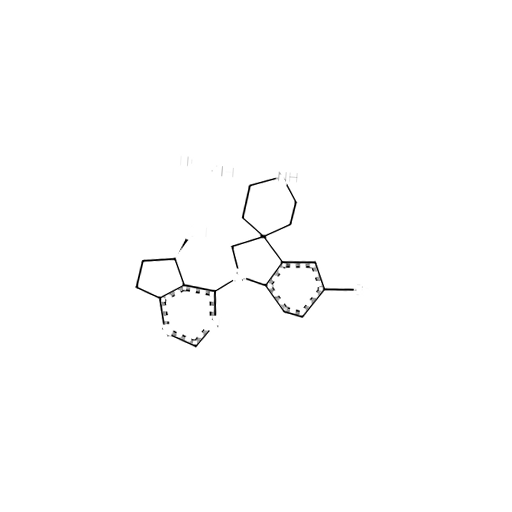 C[C@@H]1CCc2ncnc(N3CC4(CCNCC4)c4cc(Br)ccc43)c21.Cl.Cl